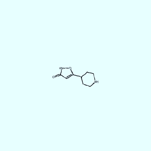 O=c1cc(C2CCNCC2)o[nH]1